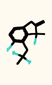 C=C1Cc2ccc(F)c(CC(C)(F)F)c2C1(C)F